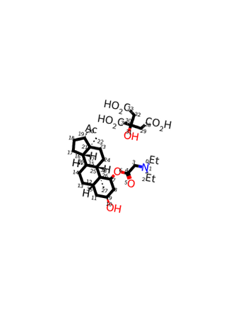 CCN(CC)CC(=O)OC1C[C@@H](O)C[C@@H]2CC[C@H]3[C@@H]4CC[C@H](C(C)=O)[C@@]4(C)CC[C@@H]3[C@@]12C.O=C(O)CC(O)(CC(=O)O)C(=O)O